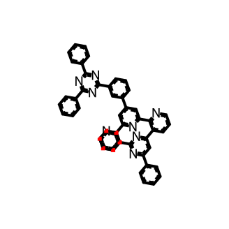 c1ccc(-c2cc(-c3cccnc3-c3cc(-c4cccc(-c5nc(-c6ccccc6)nc(-c6ccccc6)n5)c4)cc(-c4ccccn4)n3)nc(-c3ccccc3)n2)cc1